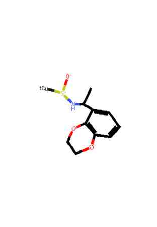 CC(N[S+]([O-])C(C)(C)C)c1cccc2c1OCCO2